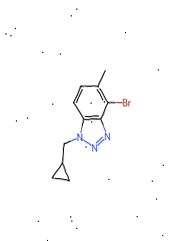 Cc1ccc2c(nnn2CC2CC2)c1Br